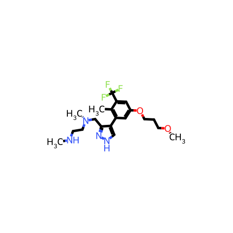 CNCCN(C)Cc1n[nH]cc1-c1cc(OCCCOC)cc(C(F)(F)F)c1C